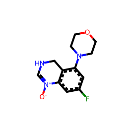 [O-][N+]1=CNCc2c(N3CCOCC3)cc(F)cc21